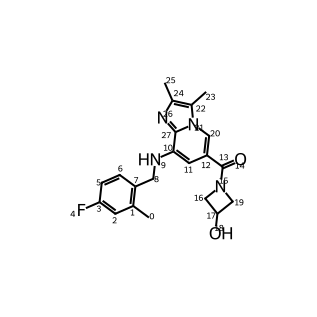 Cc1cc(F)ccc1CNc1cc(C(=O)N2CC(O)C2)cn2c(C)c(C)nc12